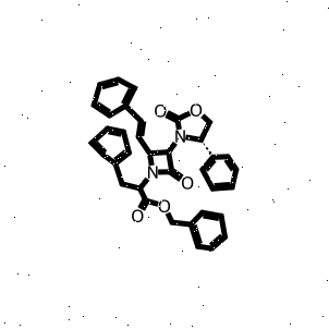 O=C(OCc1ccccc1)C(Cc1ccccc1)N1C(=O)C(N2C(=O)OC[C@@H]2c2ccccc2)C1C=Cc1ccccc1